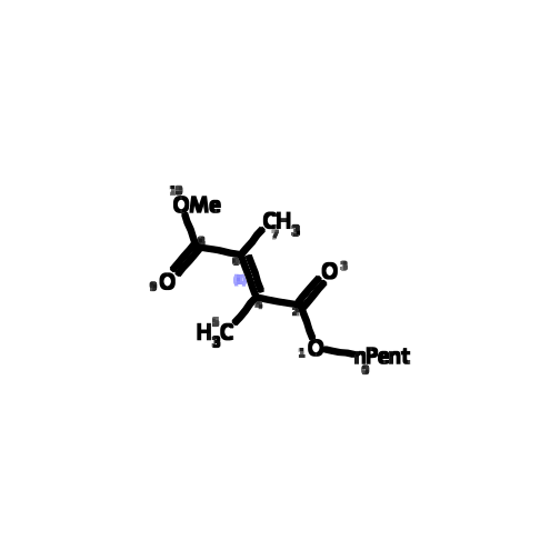 CCCCCOC(=O)/C(C)=C(\C)C(=O)OC